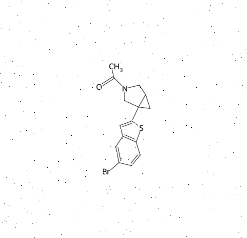 CC(=O)N1CC2CC2(c2cc3cc(Br)ccc3s2)C1